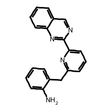 Nc1ccccc1Cc1cccc(-c2ncc3ccccc3n2)n1